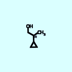 C[C@H](CO)C1CC1